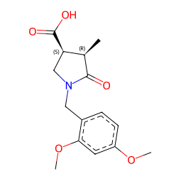 COc1ccc(CN2C[C@@H](C(=O)O)[C@@H](C)C2=O)c(OC)c1